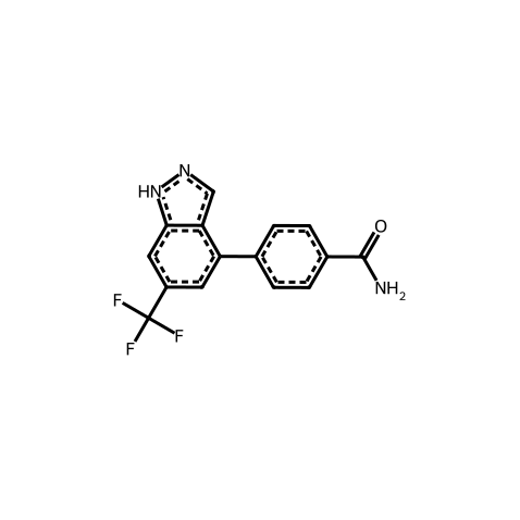 NC(=O)c1ccc(-c2cc(C(F)(F)F)cc3[nH]ncc23)cc1